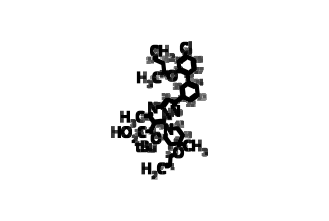 C=CCOC1(C)CCN(c2c(C(OC(C)(C)C)C(=O)O)c(C)nc3cc(-c4cccc(-c5ccc(Cl)cc5O[C@@H](C)CC=C)c4)nn23)CC1